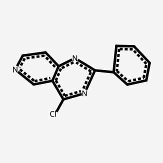 Clc1nc(-c2ccccc2)nc2ccncc12